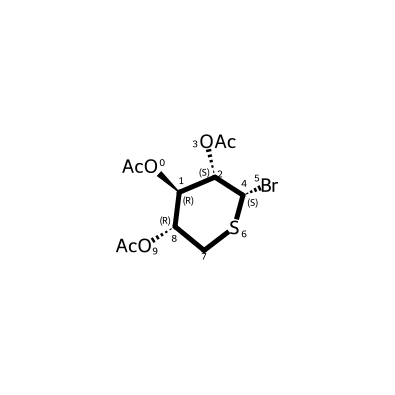 CC(=O)O[C@H]1[C@H](OC(C)=O)[C@H](Br)SC[C@@H]1OC(C)=O